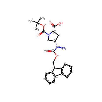 CC(C)(C)OC(=O)N1C[C@@H](N(N)C(=O)OCC2c3ccccc3-c3ccccc32)C[C@H]1C(=O)O